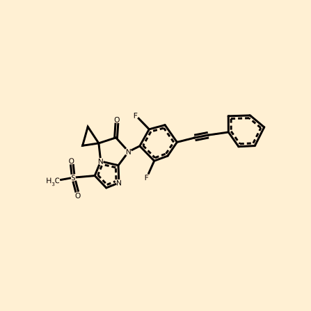 CS(=O)(=O)c1cnc2n1C1(CC1)C(=O)N2c1c(F)cc(C#Cc2ccccc2)cc1F